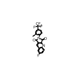 Cc1cc(C(F)(F)C(F)(F)F)ccc1N1C(=O)c2cc3cc(F)ccc3nc2C1=O